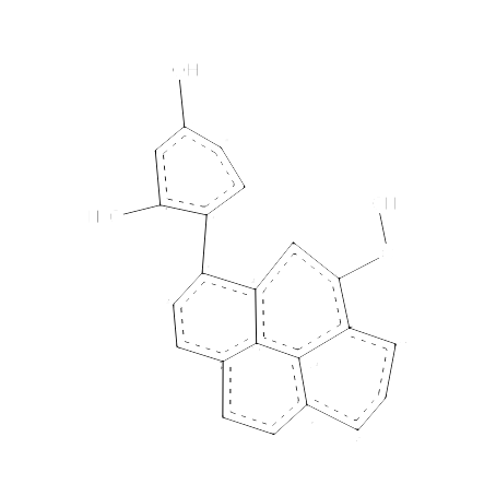 COc1cc2c(-c3ccc(O)cc3C)ccc3ccc4cccc1c4c32